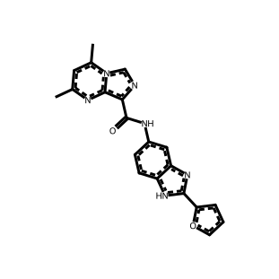 Cc1cc(C)n2cnc(C(=O)Nc3ccc4[nH]c(-c5ccco5)nc4c3)c2n1